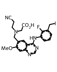 COc1cc2ncnc(Nc3cccc(CI)c3F)c2cc1CN(CCC#N)CC(=O)O